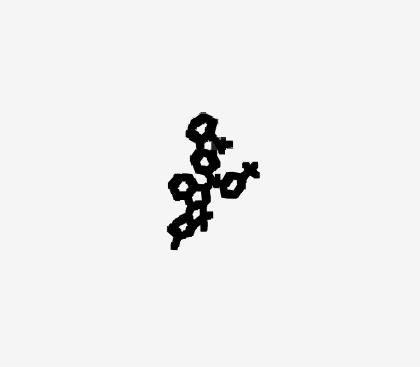 Cc1ccc2c(c1)C(C)(C)c1cc(N(c3cccc(C(C)(C)C)c3)c3ccc4c5ccccc5n(C)c4c3)c3ccccc3c1-2